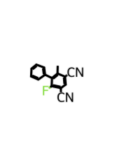 Cc1c(C#N)cc(C#N)c(F)c1-c1ccccc1